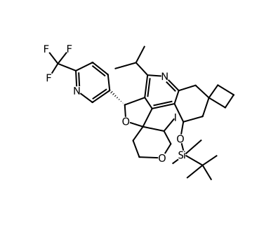 CC(C)c1nc2c(c3c1[C@@H](c1ccc(C(F)(F)F)nc1)OC31CCOCC1I)C(O[Si](C)(C)C(C)(C)C)CC1(CCC1)C2